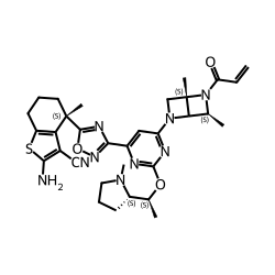 C=CC(=O)N1[C@@H](C)C2N(c3cc(-c4noc([C@@]5(C)CCCc6sc(N)c(C#N)c65)n4)nc(O[C@@H](C)[C@@H]4CCCN4C)n3)C[C@@]21C